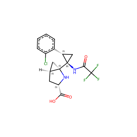 O=C(O)[C@@H]1C[C@H]2C[C@]2([C@@]2(NC(=O)C(F)(F)F)C[C@H]2c2ccccc2Cl)N1